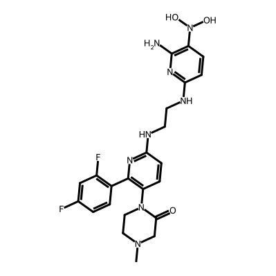 CN1CCN(c2ccc(NCCNc3ccc(N(O)O)c(N)n3)nc2-c2ccc(F)cc2F)C(=O)C1